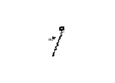 CCC.CCCCCCCCCCCCCCONc1ccccc1.OCl